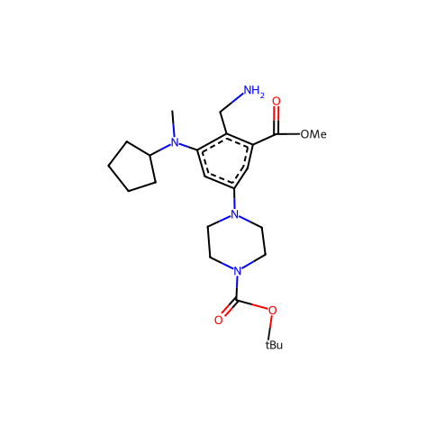 COC(=O)c1cc(N2CCN(C(=O)OC(C)(C)C)CC2)cc(N(C)C2CCCC2)c1CN